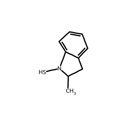 CC1Cc2ccccc2N1S